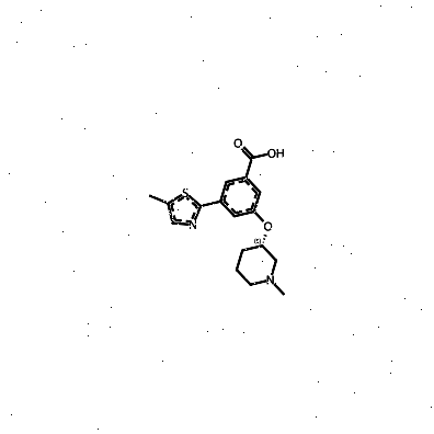 Cc1cnc(-c2cc(O[C@H]3CCCN(C)C3)cc(C(=O)O)c2)s1